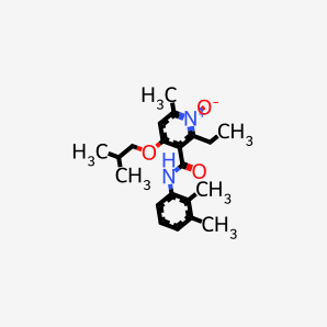 CCc1c(C(=O)Nc2cccc(C)c2C)c(OCC(C)C)cc(C)[n+]1[O-]